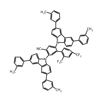 Cc1cccc(-c2ccc3c(c2)c2cc(-c4cccc(C)c4)ccc2n3-c2cc(-c3ccc(C(F)(F)F)cc3C(F)(F)F)c(-n3c4ccc(-c5cccc(C)c5)cc4c4cc(-c5cccc(C)c5)ccc43)cc2C#N)c1